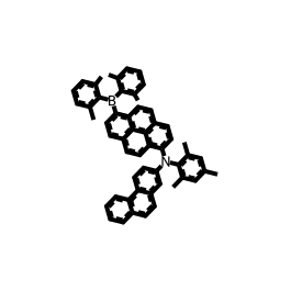 Cc1cc(C)c(N(c2ccc3c(ccc4ccccc43)c2)c2ccc3ccc4c(B(c5c(C)cccc5C)c5c(C)cccc5C)ccc5ccc2c3c54)c(C)c1